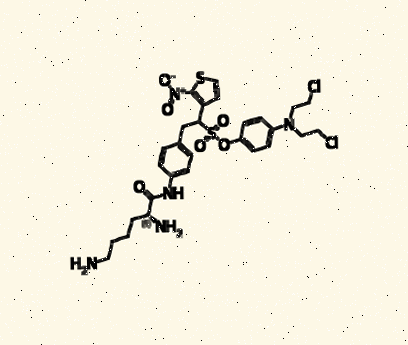 NCCCC[C@H](N)C(=O)Nc1ccc(CC(c2ccsc2[N+](=O)[O-])S(=O)(=O)Oc2ccc(N(CCCl)CCCl)cc2)cc1